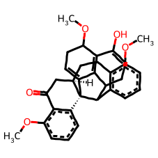 COc1cccc2c1CC[C@@H]1CC(=O)c3c(OC)cccc3[C@@]13C1=CCC(OC)C4=C1C(CC=C4O)C23